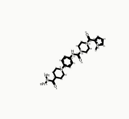 CCCN(CCC)C(=O)C1CCN(c2ccc(NC(=O)N3CCN(C(=O)c4cccn4C)CC3)cc2)CC1